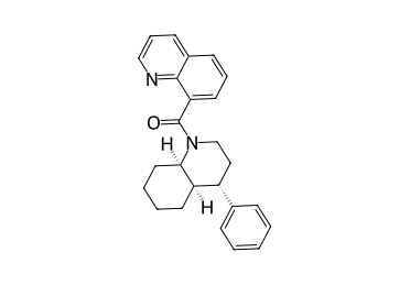 O=C(c1cccc2cccnc12)N1CC[C@H](c2ccccc2)[C@H]2CCCC[C@H]21